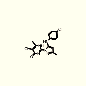 Cc1cc(Nc2ccc(Cl)cc2)n(-c2nc(=O)c(Cl)c(C)[nH]2)n1